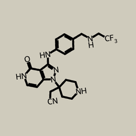 N#CCC1(n2nc(Nc3ccc(CNCC(F)(F)F)cc3)c3c(=O)[nH]ccc32)CCNCC1